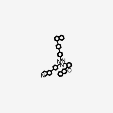 c1ccc2cc3c(cc2c1)oc1cccc(-c2nc(-c4ccc(-c5ccc(-c6cccc7ccccc67)cc5)cc4)nc(-c4ccc(-c5ccc6cnccc6c5)cc4)n2)c13